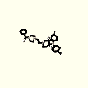 O=C(c1ccccc1)N1CCN(CCN2CC[C@@H]3[C@@H](C2)c2cc(F)ccc2N3c2ccc(F)cc2)CC1